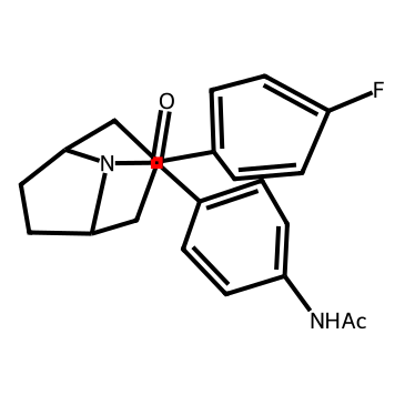 CC(=O)Nc1ccc(C(=O)N2C3CCC2CC(c2ccc(F)cc2)C3)cc1